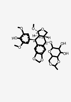 COc1cc([C@@H]2c3cc4c(cc3[C@@H](OC3OC5COC(C)OC5C(O)C3O)[C@H]3CO[C@@H](OC)[C@H]23)OCO4)cc(OC)c1O